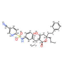 CCC[C@]1(CCc2ccccc2)CC(O)=C([C@H](CC)c2cccc(NS(=O)(=O)c3ccc(C#N)cn3)c2)C(=O)O1